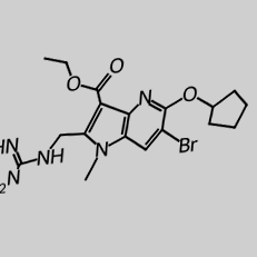 CCOC(=O)c1c(CNC(=N)N)n(C)c2cc(Br)c(OC3CCCC3)nc12